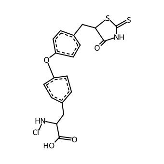 O=C(O)C(Cc1ccc(Oc2ccc(CC3SC(=S)NC3=O)cc2)cc1)NCl